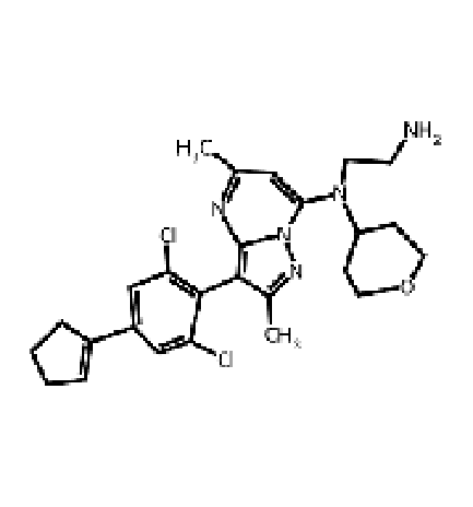 Cc1cc(N(CCN)C2CCOCC2)n2nc(C)c(-c3c(Cl)cc(C4=CCCC4)cc3Cl)c2n1